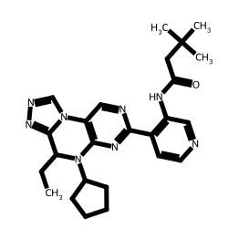 CCC1c2nncn2-c2cnc(-c3ccncc3NC(=O)CC(C)(C)C)nc2N1C1CCCC1